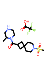 CC1CNCCN1C(=O)C1CC2(CCN(S(C)(=O)=O)CC2)C1.O=C(O)C(F)(F)F